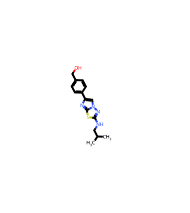 CC(C)CNc1nn2cc(-c3ccc(CO)cc3)nc2s1